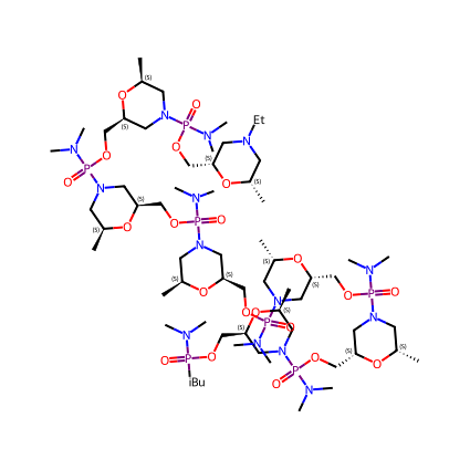 CCC(C)P(=O)(OC[C@@H]1CN(P(=O)(OC[C@@H]2CN(P(=O)(OC[C@@H]3CN(P(=O)(OC[C@@H]4CN(P(=O)(OC[C@@H]5CN(P(=O)(OC[C@@H]6CN(P(=O)(OC[C@@H]7CN(CC)C[C@H](C)O7)N(C)C)C[C@H](C)O6)N(C)C)C[C@H](C)O5)N(C)C)C[C@H](C)O4)N(C)C)C[C@H](C)O3)N(C)C)C[C@H](C)O2)N(C)C)C[C@H](C)O1)N(C)C